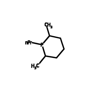 CCCP1C(C)CCCC1C